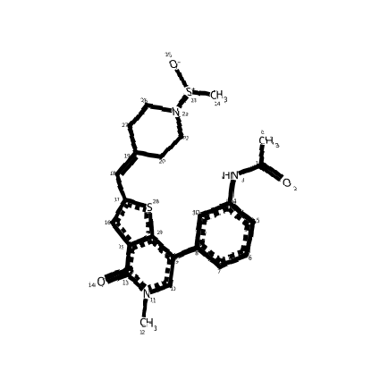 CC(=O)Nc1cccc(-c2cn(C)c(=O)c3cc(C=C4CCN([S+](C)[O-])CC4)sc23)c1